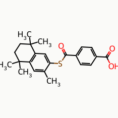 Cc1cc2c(cc1SC(=O)c1ccc(C(=O)O)cc1)C(C)(C)CCC2(C)C